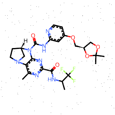 Cc1nc(C(=O)NC(C)C(F)(F)F)nc2c1N1CC[C@@H](C1)N2C(=O)Nc1cc(OC[C@H]2COC(C)(C)O2)ccn1